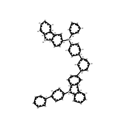 c1ccc(-c2ccc(-n3c4ccccc4c4cc(-c5cccc(-c6ccc(N(c7ccccc7)c7ccc8oc9ccccc9c8c7)cc6)c5)ccc43)cc2)cc1